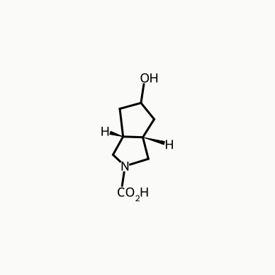 O=C(O)N1C[C@H]2CC(O)C[C@H]2C1